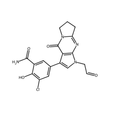 NC(=O)c1cc(-c2cn(CC=O)c3nc4n(c(=O)c23)CCC4)cc(Cl)c1O